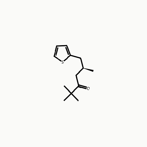 C[C@@H](CC(=O)C(C)(C)C)Cc1cccs1